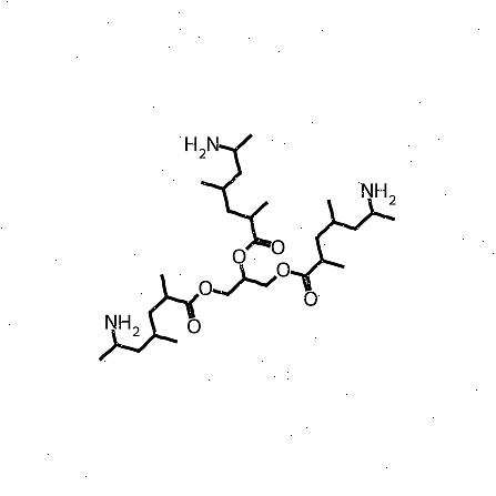 CC(N)CC(C)CC(C)C(=O)OCC(COC(=O)C(C)CC(C)CC(C)N)OC(=O)C(C)CC(C)CC(C)N